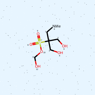 CNCC(CO)(CO)S(=O)(=O)OCO